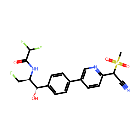 CS(=O)(=O)C(C#N)c1ccc(-c2ccc([C@H](O)[C@@H](CF)NC(=O)C(F)F)cc2)cn1